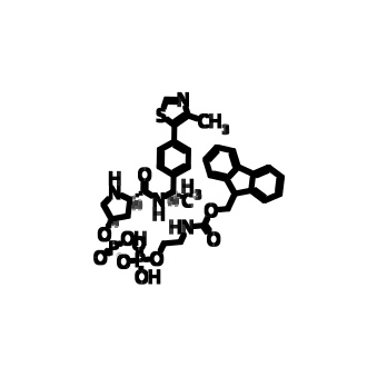 Cc1ncsc1-c1ccc([C@H](C)NC(=O)[C@@H]2C[C@@H](OP(=O)(O)OP(=O)(O)OCCNC(=O)OCC3c4ccccc4-c4ccccc43)CN2)cc1